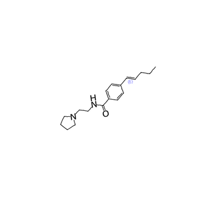 CCC/C=C/c1ccc(C(=O)NCCN2CCCC2)cc1